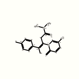 C=C1C=CC(Cl)=CN1/C(CC(=O)N(CCC)CCC)=C(\C)c1ccc(C)cc1